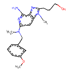 COc1cccc(CN(C)c2cc3c(nc(CCCO)n3C)c(N)n2)c1